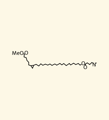 COC(=O)CCCCCC1CC1CCCCCCCCCCCCCCCCCCCCOC(=O)CCCN(C)C